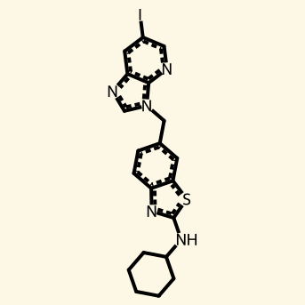 Ic1cnc2c(c1)ncn2Cc1ccc2nc(NC3CCCCC3)sc2c1